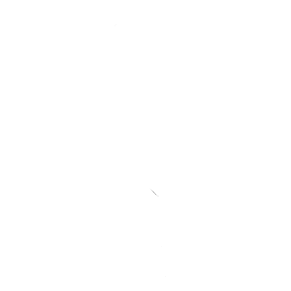 CC/C=C/CCCC/C=C/CCC/C=C/CCCCC(=O)O